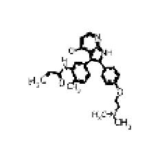 C=CC(=O)Nc1cc(-c2c(-c3ccc(OCCN(C)C)cc3)[nH]c3nccc(Cl)c23)ccc1C